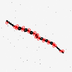 C=CC(=O)CCCCCCCOC(=O)Oc1ccc(C(=O)Oc2ccc(C(=O)Oc3ccc(C(=O)O[C@H]4COC5C4OC[C@@H]5OC(=O)c4ccc(OC(=O)c5ccc(OC(=O)c6ccc(OC(=O)OCCCCCCOC(=O)C=C)cc6)cc5)cc4)cc3)cc2)cc1